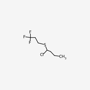 CCCC(Cl)SCCC(F)(F)F